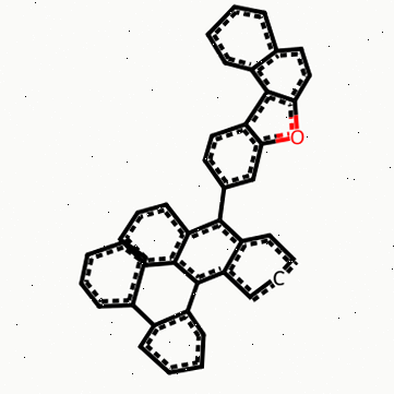 c1ccc(-c2ccccc2-c2c3ccccc3c(-c3ccc4c(c3)oc3ccc5ccccc5c34)c3ccccc23)cc1